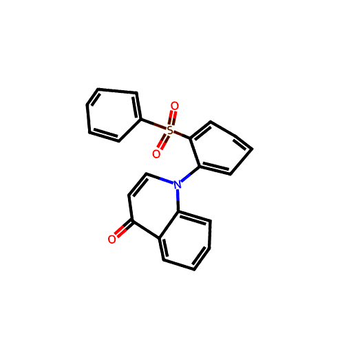 O=c1ccn(-c2ccccc2S(=O)(=O)c2ccccc2)c2ccccc12